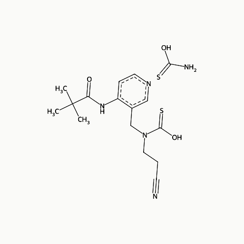 CC(C)(C)C(=O)Nc1ccncc1CN(CCC#N)C(O)=S.NC(O)=S